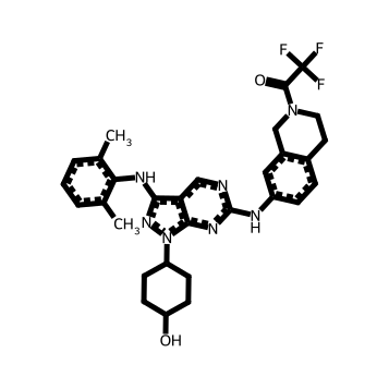 Cc1cccc(C)c1Nc1nn(C2CCC(O)CC2)c2nc(Nc3ccc4c(c3)CN(C(=O)C(F)(F)F)CC4)ncc12